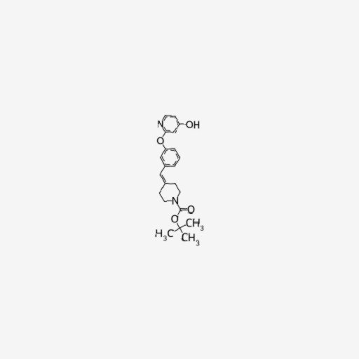 CC(C)(C)OC(=O)N1CCC(=Cc2cccc(Oc3cc(O)ccn3)c2)CC1